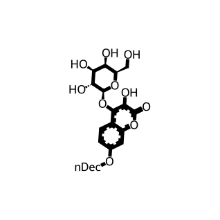 CCCCCCCCCCOc1ccc2c(O[C@@H]3O[C@H](CO)[C@H](O)[C@H](O)[C@H]3O)c(O)c(=O)oc2c1